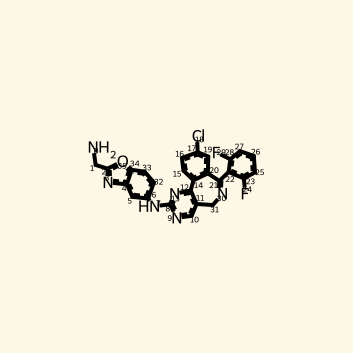 NCc1nc2cc(Nc3ncc4c(n3)-c3ccc(Cl)cc3C(c3c(F)cccc3F)=NC4)ccc2o1